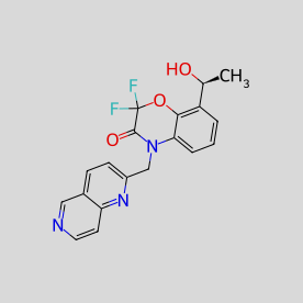 C[C@H](O)c1cccc2c1OC(F)(F)C(=O)N2Cc1ccc2cnccc2n1